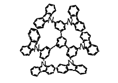 c1ccc2c(c1)c1ccccc1n2-c1cc(-c2cc(-c3cc(-n4c5ccccc5c5ccccc54)cc(-n4c5ccccc5c5ccccc54)c3)cc(-c3cc(-n4c5ccccc5c5ccccc54)cc(-n4c5ccccc5c5ccccc54)c3)c2)cc(-n2c3ccccc3c3ccccc32)c1